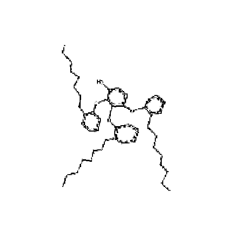 CCCCCCCCc1ccccc1Oc1ccc(O)c(Oc2ccccc2CCCCCCCC)c1Oc1ccccc1CCCCCCCC